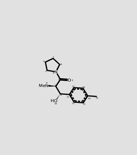 CN[C@@H](C(=O)N1CCCC1)[C@@H](O)c1ccc(C)cc1